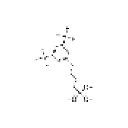 O[Si](O)(O)CCCCc1cc(C(F)(F)F)cc(C(F)(F)F)c1